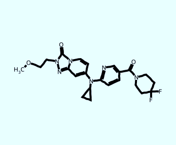 COCCn1nc2cc(N(c3ccc(C(=O)N4CCC(F)(F)CC4)cn3)C3CC3)ccn2c1=O